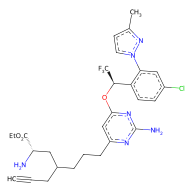 C#CCC(CCCc1cc(O[C@H](c2ccc(Cl)cc2-n2ccc(C)n2)C(F)(F)F)nc(N)n1)C[C@H](N)C(=O)OCC